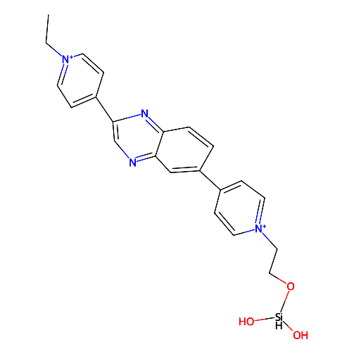 CC[n+]1ccc(-c2cnc3cc(-c4cc[n+](CCO[SiH](O)O)cc4)ccc3n2)cc1